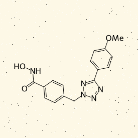 COc1ccc(-c2nnn(Cc3ccc(C(=O)NO)cc3)n2)cc1